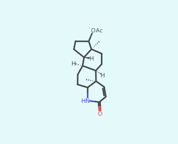 CC(=O)OC1CC[C@H]2[C@@H]3CCC4NC(=O)C=C[C@]4(C)[C@@H]3CC[C@]12C